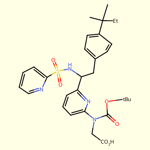 CCC(C)(C)c1ccc(CC(NS(=O)(=O)c2ccccn2)c2cccc(N(CC(=O)O)C(=O)OC(C)(C)C)n2)cc1